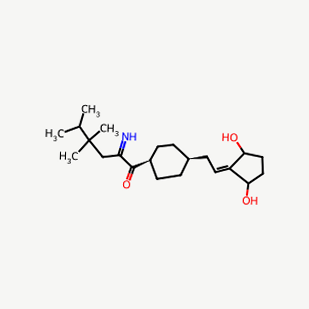 CC(C)C(C)(C)CC(=N)C(=O)[C@H]1CC[C@@H](CC=C2C(O)CCC2O)CC1